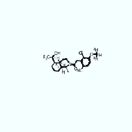 [2H]C([2H])([2H])Oc1ccc(C#N)c(CC(=O)N2CC[C@H]3[C@H]([C@H](O)C(F)(F)F)CCC[C@@H]3[C@@H]2C)c1Cl